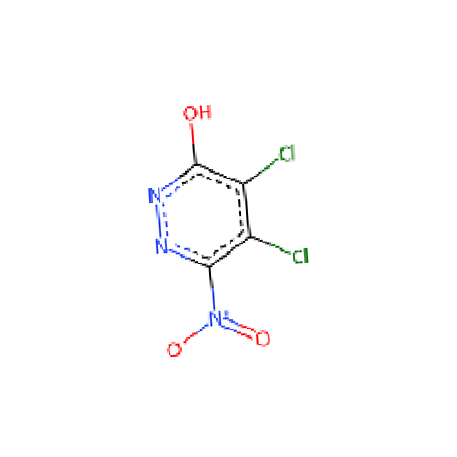 O=[N+]([O-])c1nnc(O)c(Cl)c1Cl